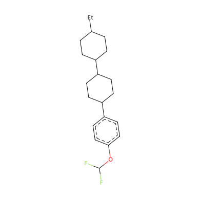 CCC1CCC(C2CCC(c3ccc(OC(F)F)cc3)CC2)CC1